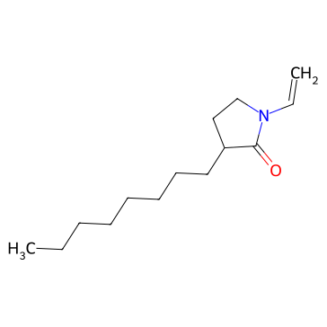 C=CN1CCC(CCCCCCCC)C1=O